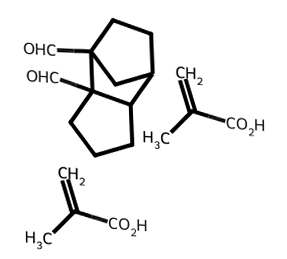 C=C(C)C(=O)O.C=C(C)C(=O)O.O=CC12CCC(C1)C1CCCC12C=O